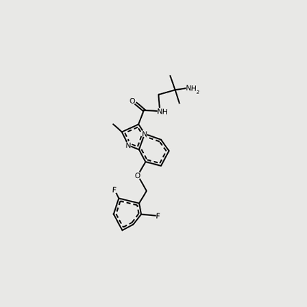 Cc1nc2c(OCc3c(F)cccc3F)cccn2c1C(=O)NCC(C)(C)N